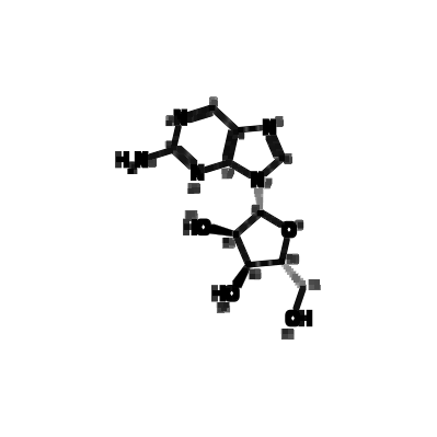 Nc1ncc2ncn([C@@H]3O[C@H](CO)[C@@H](O)[C@H]3O)c2n1